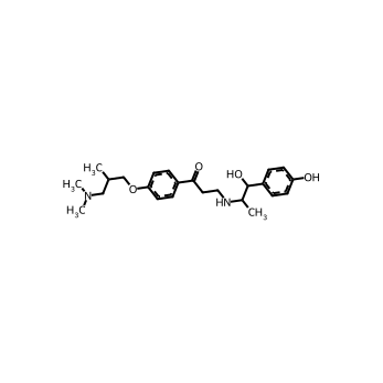 CC(COc1ccc(C(=O)CCNC(C)C(O)c2ccc(O)cc2)cc1)CN(C)C